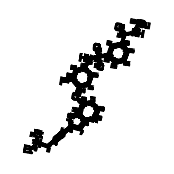 CCN(CC)CC#Cc1cc2nccc(Oc3ccc(NS(=O)(=O)c4cccc(C(=O)NC(C)(C)C)c4)cc3F)c2s1